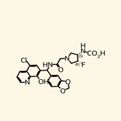 O=C(O)N[C@H]1CN(CC(=O)NC(c2ccc3c(c2)OCO3)c2cc(Cl)c3cccnc3c2O)C[C@H]1F